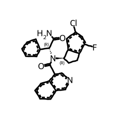 NC(=O)[C@@H](c1ccccc1)N(C(=O)c1cncc2ccccc12)[C@@H]1CCc2c(F)cc(Cl)cc21